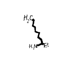 C=CCCCCCCC(N)CC